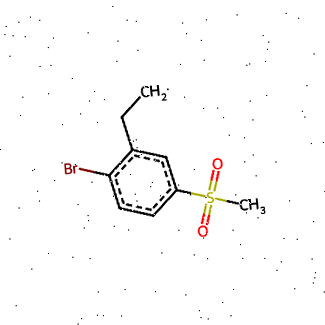 [CH2]Cc1cc(S(C)(=O)=O)ccc1Br